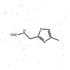 Cc1csc(CNC=O)n1